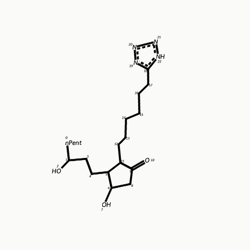 CCCCCC(O)CCC1C(O)CC(=O)C1CCCCCCc1nnn[nH]1